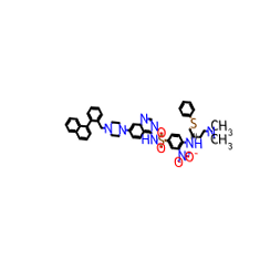 CN(C)CC[C@H](CSc1ccccc1)Nc1ccc(S(=O)(=O)Nc2ncnc3cc(N4CCN(Cc5ccccc5-c5cccc6ccccc56)CC4)ccc23)cc1[N+](=O)[O-]